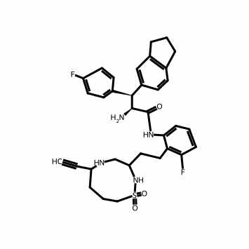 C#CC1CCCS(=O)(=O)NC(CCc2c(F)cccc2NC(=O)[C@@H](N)[C@@H](c2ccc(F)cc2)c2ccc3c(c2)CCC3)CN1